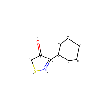 O=C1CSN=C1C1CCCCC1